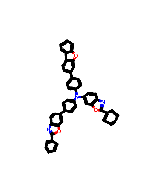 c1ccc(-c2nc3ccc(-c4ccc(N(c5ccc(-c6ccc7c(c6)oc6ccccc67)cc5)c5ccc6nc(-c7ccccc7)oc6c5)cc4)cc3o2)cc1